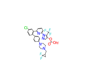 O=C(O)Oc1cnn(-c2cccc(-c3cc(Cl)ccc3-c3ccc(N4CCN(CC5CC5(F)F)CC4)cc3)n2)c1C(F)(F)F